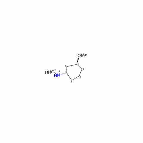 CO[C@H]1CCC[C@H](NC=O)C1